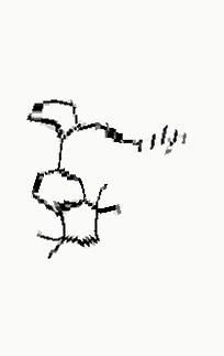 CC1(C)CCC(C)(C)c2cc(C3=CCCC3C#CC(=O)O)ccc21